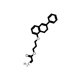 C=CC(=O)OCCCOc1cccc2c1CCC(c1ccccc1)=C2